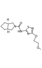 COCCOc1nsc(NC(=O)N2C[C@H]3CCC[C@H]3C2)n1